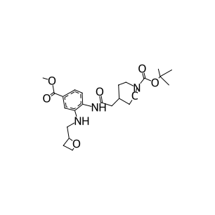 COC(=O)c1ccc(NC(=O)CC2CCN(C(=O)OC(C)(C)C)CC2)c(NCC2CCO2)c1